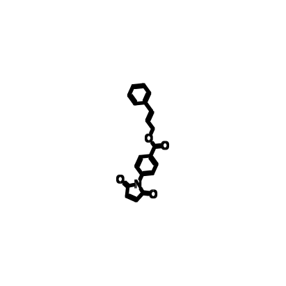 O=C(OC/C=C/c1ccccc1)c1ccc(N2C(=O)C=CC2=O)cc1